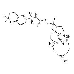 CC1CC[C@@H](O)CCC[C@@H](O)[C@@H]2[C@@H]1CCC1(C)C([C@H](C)COC(=O)NS(=O)(=O)c3ccc4c(c3)CCC(C)(C)O4)CC[C@@H]21